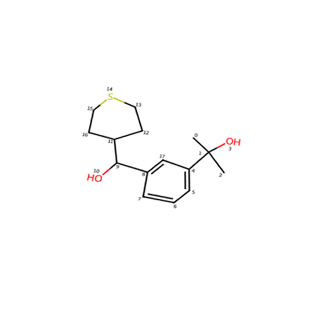 CC(C)(O)c1cccc(C(O)C2CCSCC2)c1